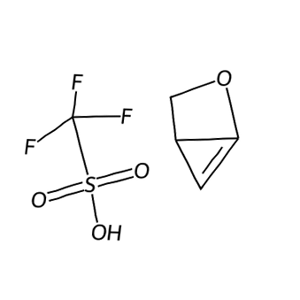 C1=C2OCC12.O=S(=O)(O)C(F)(F)F